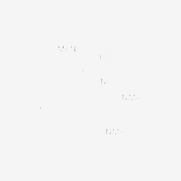 CNC1(NC)CC(=O)CC(NC)(C(C)C)N1